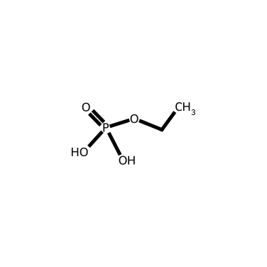 CCOP(=O)(O)O